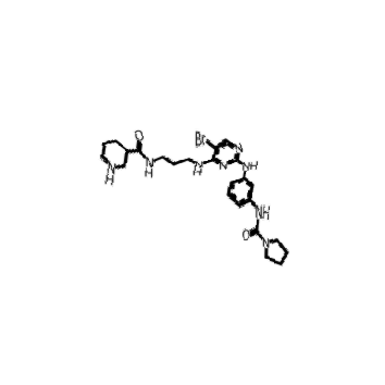 O=C(NCCCNc1nc(Nc2cccc(NC(=O)N3CCCC3)c2)ncc1Br)C1CCCNC1